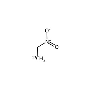 [13CH3]C[N+](=O)[O-]